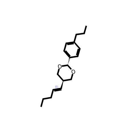 CCC/C=C/[C@H]1CO[C@H](c2ccc(CCC)cc2)OC1